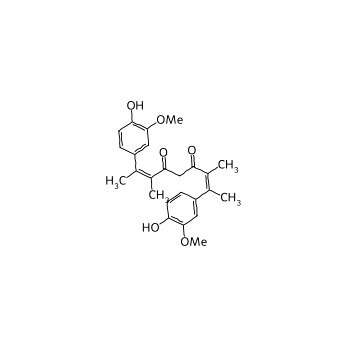 COc1cc(C(C)=C(C)C(=O)CC(=O)C(C)=C(C)c2ccc(O)c(OC)c2)ccc1O